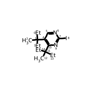 CCC(C)(CC)c1cnc(I)nc1C(C)(CC)CC